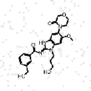 COc1cc2c(cc1N1CCOCC1=O)[nH]/c(=N\C(=O)c1cccc(CO)c1)n2CCCO